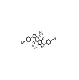 Cc1c2c(=O)n3c(-c4ccc(C#N)cc4)ccc3c(C)c2c(=O)n2c(-c3ccc(C#N)cc3)ccc12